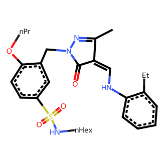 CCCCCCNS(=O)(=O)c1ccc(OCCC)c(CN2N=C(C)C(=CNc3ccccc3CC)C2=O)c1